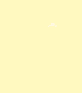 CCc1ccc(N)cc1C(=O)CC1CCCCC1